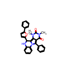 Cn1c(=O)c2c(-c3ccccc3)n3c(c2n(C)c1=O)C(c1ccc(-c2ccccc2)o1)Nc1ccccc1-3